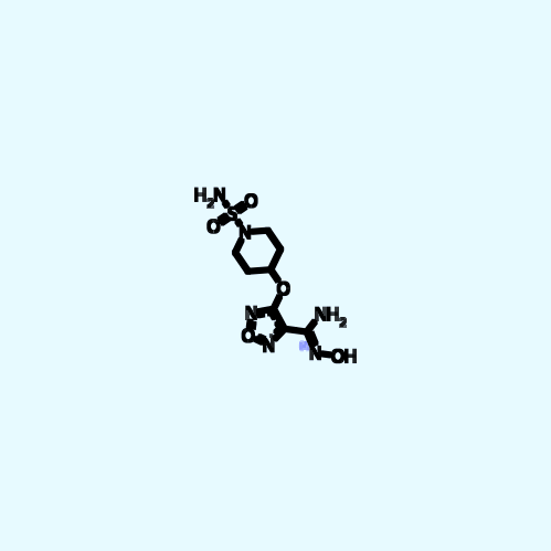 N/C(=N\O)c1nonc1OC1CCN(S(N)(=O)=O)CC1